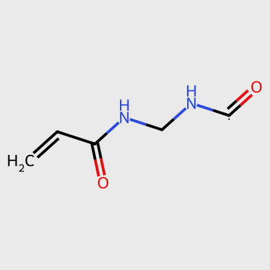 C=CC(=O)NCN[C]=O